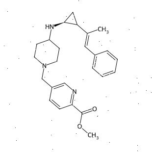 COC(=O)c1ccc(CN2CCC(N[C@H]3CC3C(C)=Cc3ccccc3)CC2)cn1